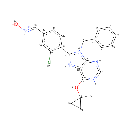 CC1(Oc2ncnc3c2nc(-c2ccc(/C=N/O)cc2Cl)n3Cc2ccccc2)CC1